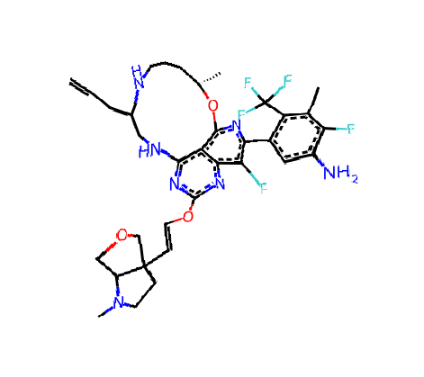 C=CCC1CNc2nc(O/C=C/C34CCN(C)C3COC4)nc3c(F)c(-c4cc(N)c(F)c(C)c4C(F)(F)F)nc(c23)O[C@@H](C)CCN1